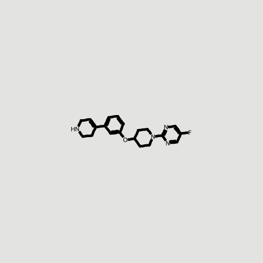 Fc1cnc(N2CCC(Oc3cccc(C4=CCNCC4)c3)CC2)nc1